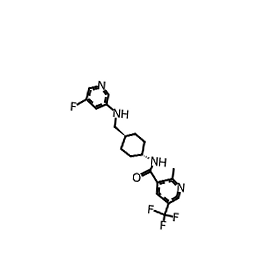 Cc1ncc(C(F)(F)F)cc1C(=O)N[C@H]1CC[C@H](CNc2cncc(F)c2)CC1